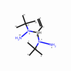 C=C[SiH](N(N)C(C)(C)C)N(N)C(C)(C)C